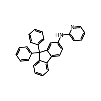 c1ccc(C2(c3ccccc3)c3ccccc3-c3ccc(Nc4ccccn4)cc32)cc1